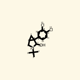 CC(C)(C)N1CC2CC2(c2ccc(Cl)c(Cl)c2)C1O